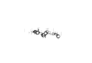 COc1cc2c(Oc3ccc4[nH]c(C)cc4c3F)ncnc2cc1OC[C@H]1C[C@H](NC2CCCCC2)C1